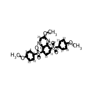 COc1ccc(S(=O)(=O)c2ccc(S(=O)(=O)c3ccc(OC)cc3)c3nc(OC)cnc23)cc1